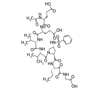 CCC[C@H](NC(=O)[C@@H]1C[C@@H](NS(=O)(=O)c2ccccc2)CN1C(=O)[C@@H](NC(=O)[C@@H](NC(=O)[C@H](CCC(=O)O)NC(=O)[C@H](CCC(=O)O)NC(C)=O)C(C)C)C(C)C)C(=O)C(=O)NCC(=O)O